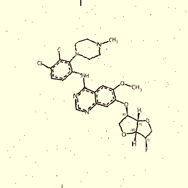 COc1cc2c(Nc3ccc(Cl)c(Cl)c3N3CCN(C)CC3)ncnc2cc1O[C@@H]1CO[C@@H]2[C@H]1OC[C@H]2F